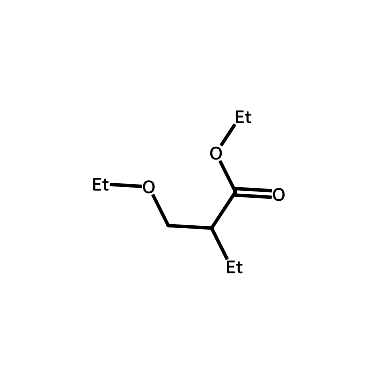 CCOCC(CC)C(=O)OCC